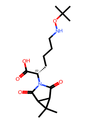 CC(C)(C)ONCCCC[C@@H](C(=O)O)N1C(=O)C2C(C1=O)C2(C)C